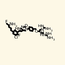 N=C(N)NCC[C@H](CNC(=N)N)OCc1ccc(-n2cc3cc(-c4cc(CCC[C@@H](N)CF)cc(Cl)c4F)[nH]c3nc2=O)cc1